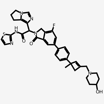 CC1(c2ccc(-c3cc(F)c4c(c3)C(=O)N(C(C(=O)Nc3nccs3)c3ncn5c3CCC5)C4)cc2)C=C(CN2CCC(O)CC2)C1